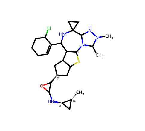 CC1N(C)NC2N1C1SC3C[C@@H](C4OC4N[C@@H]4C[C@H]4C)CC3C1C(C1=CCCCC1Cl)NC21CC1